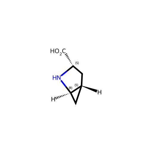 O=C(O)[C@@H]1C[C@@H]2C[C@H]2N1